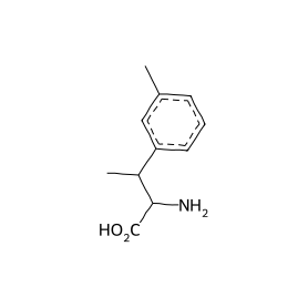 Cc1cccc(C(C)C(N)C(=O)O)c1